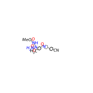 COC(=O)CNC(=O)CN(C(N)=O)c1cc(C(=O)N2CCC(c3ccc(C#N)cc3)CC2)ccc1C